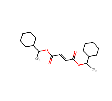 O=C(/C=C/C(=O)OC(C1CCCCC1)C(F)(F)F)OC(C1CCCCC1)C(F)(F)F